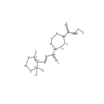 CCNC(=O)N1CCCN(C(=O)/C=C/C2=C(C)CCCC2(C)C)CC1